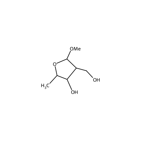 COC1OC(C)C(O)C1CO